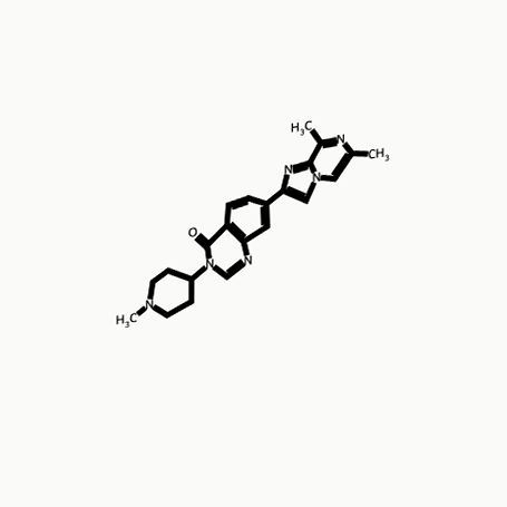 Cc1cn2cc(-c3ccc4c(=O)n(C5CCN(C)CC5)cnc4c3)nc2c(C)n1